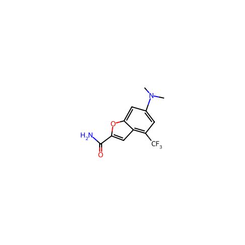 CN(C)c1cc(C(F)(F)F)c2cc(C(N)=O)oc2c1